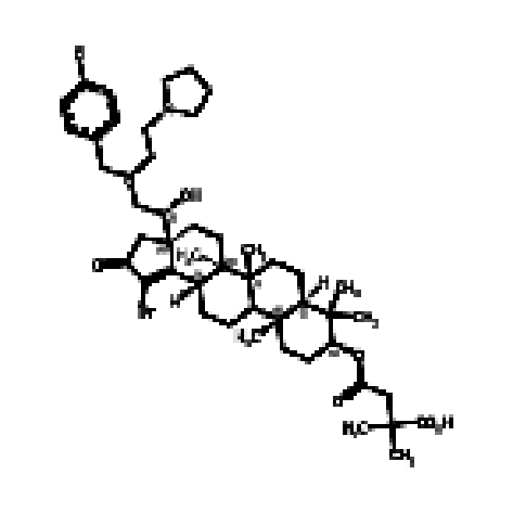 CC(C)C1=C2[C@H]3CCC4[C@@]5(C)CC[C@H](OC(=O)CC(C)(C)C(=O)O)C(C)(C)[C@@H]5CC[C@@]4(C)[C@]3(C)CC[C@@]2([C@H](O)CN(CCN2CCCC2)Cc2ccc(Cl)cc2)CC1=O